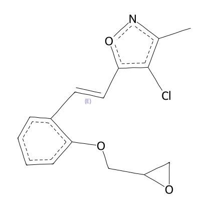 Cc1noc(/C=C/c2ccccc2OCC2CO2)c1Cl